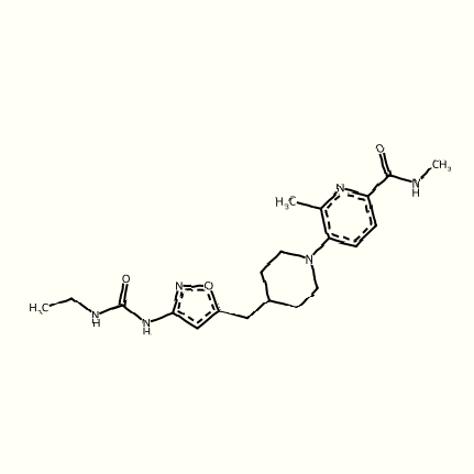 CCNC(=O)Nc1cc(CC2CCN(c3ccc(C(=O)NC)nc3C)CC2)on1